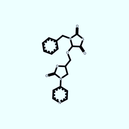 O=C1SC(=O)N(Cc2ccccc2)C1OCC1CN(c2ccncc2)C(=O)O1